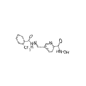 O=C(NO)c1ccc(C=NNC(=O)c2ccccc2C(F)(F)F)cn1